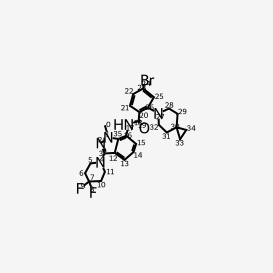 Cn1nc(N2CCC(F)(F)CC2)c2cccc(NC(=O)c3ccc(Br)cc3N3CCC4(CC3)CC4)c21